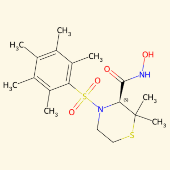 Cc1c(C)c(C)c(S(=O)(=O)N2CCSC(C)(C)[C@@H]2C(=O)NO)c(C)c1C